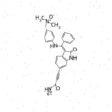 CCNC(=O)C#Cc1ccc2c(c1)NC(=O)C2=C(Nc1ccc(C[N+](C)(C)[O-])cc1)c1ccccc1